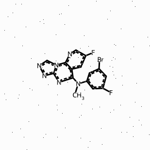 CN(c1cc(F)cc(Br)c1)c1nc2nncn2c2ncc(F)cc12